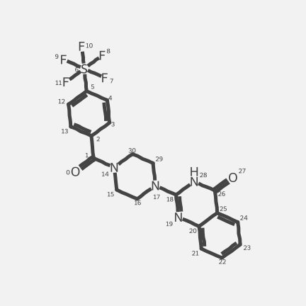 O=C(c1ccc(S(F)(F)(F)(F)F)cc1)N1CCN(c2nc3ccccc3c(=O)[nH]2)CC1